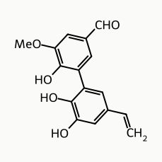 C=Cc1cc(O)c(O)c(-c2cc(C=O)cc(OC)c2O)c1